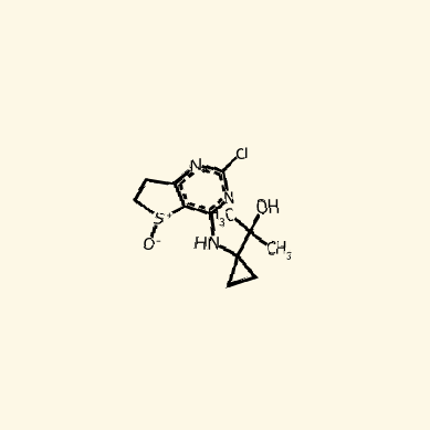 CC(C)(O)C1(Nc2nc(Cl)nc3c2[S+]([O-])CC3)CC1